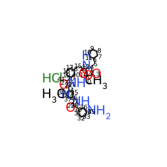 COC(=O)C(Cc1ccccc1)NC(=O)Cc1cccc(NC(=O)c2cc(NC(=O)c3cccc(N)c3)cn2C)c1.Cl